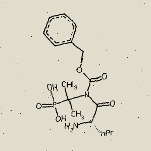 CCC[C@H](N)C(=O)N(C(=O)OCc1ccccc1)C(C)(C)P(=O)(O)O